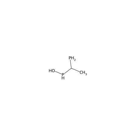 CC(P)PO